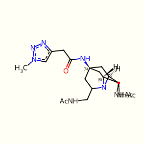 CC(=O)NCC1C[C@]2(NC(=O)Cc3cn(C)nn3)C[C@@H](CNC(C)=O)N1[C@@H](CNC(C)=O)C2